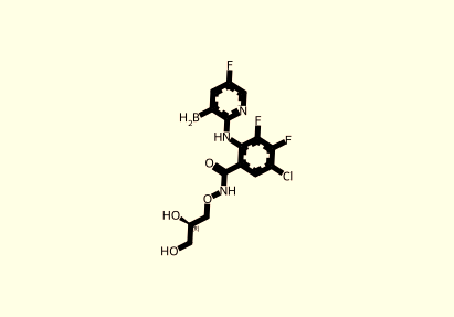 Bc1cc(F)cnc1Nc1c(C(=O)NOC[C@H](O)CO)cc(Cl)c(F)c1F